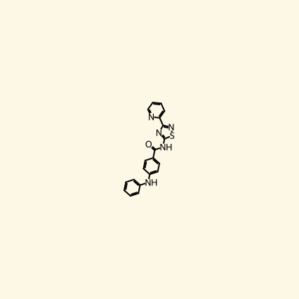 O=C(Nc1nc(-c2ccccn2)ns1)c1ccc(Nc2ccccc2)cc1